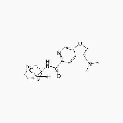 CN(C)c1coc2cnc(C(=O)N[C@H]3CN4CCC3CC4)cc12